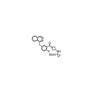 COC1(NC2CN(C(=O)c3cc(Cc4nncc5ccccc45)ccc3F)C2)CC1